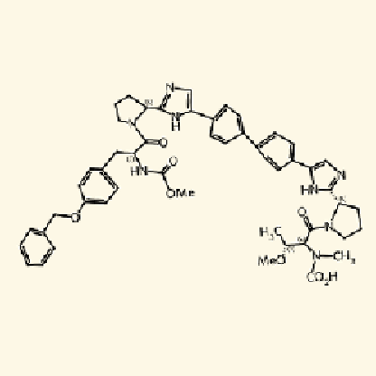 COC(=O)N[C@@H](Cc1ccc(OCc2ccccc2)cc1)C(=O)N1CCC[C@H]1c1ncc(-c2ccc(-c3ccc(-c4cnc([C@@H]5CCCN5C(=O)[C@H]([C@@H](C)OC)N(C)C(=O)O)[nH]4)cc3)cc2)[nH]1